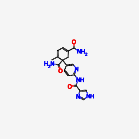 CC1=CC=C(C(N)=O)CC1(C(N)=O)c1ccc(NC(=O)c2c[nH]cn2)nc1